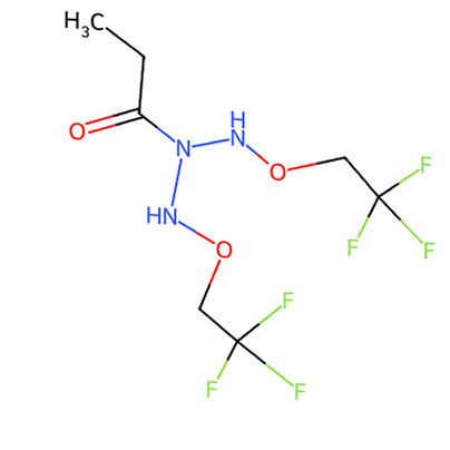 CCC(=O)N(NOCC(F)(F)F)NOCC(F)(F)F